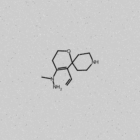 C=CC1=C(N(C)N)CCOC12CCNCC2